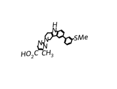 CSc1cccc(-c2ccc3[nH]c4c(c3c2)CN(c2ncc(C(=O)O)c(C)n2)CC4)c1